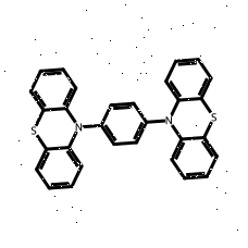 c1ccc2c(c1)Sc1ccccc1N2c1ccc(N2c3ccccc3Sc3ccccc32)cc1